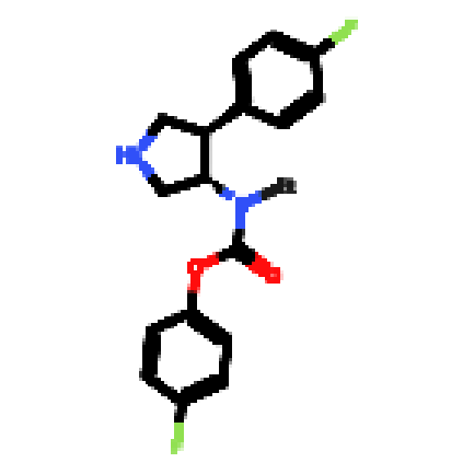 CCN(C(=O)Oc1ccc(F)cc1)[C@@H]1CNC[C@H]1c1ccc(F)cc1